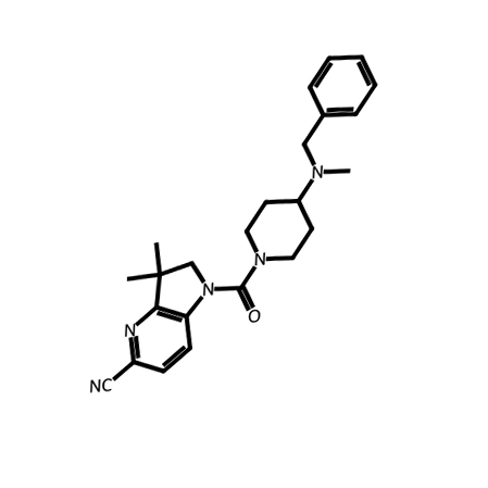 CN(Cc1ccccc1)C1CCN(C(=O)N2CC(C)(C)c3nc(C#N)ccc32)CC1